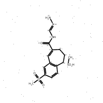 CS(=O)(=O)O.CS(=O)(=O)c1ccc2c(c1)C=C(C(=O)NC=NN)CCC2